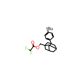 CC(C)(C)c1ccc(C23CC4CC(CC(COC(=O)C(F)F)(C4)C2)C3)cc1